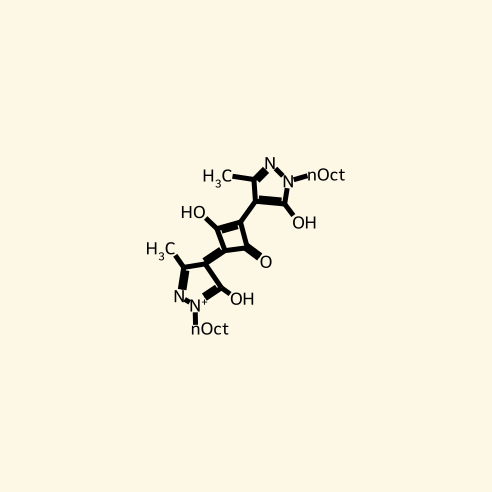 CCCCCCCCn1nc(C)c(C2=C(O)/C(=C3\C(C)=N[N+](CCCCCCCC)=C3O)C2=O)c1O